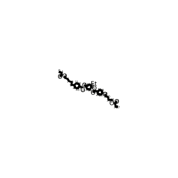 C=CC(=O)OCCCCCc1ccc(C(=O)Oc2ccc(OC(=O)c3ccc(OCCCCOC(=O)C=C)cc3)c(CC)c2)cc1